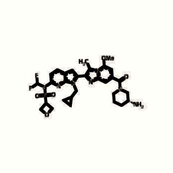 COc1cc(C(=O)N2CCC[C@@H](N)C2)cc2nc(-c3cc4ccc(N(C(F)F)S(=O)(=O)C5COC5)nc4n3CC3CC3)c(C)n12